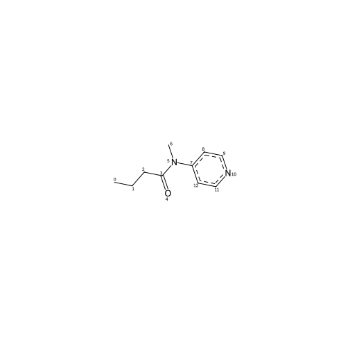 CCCC(=O)N(C)c1ccncc1